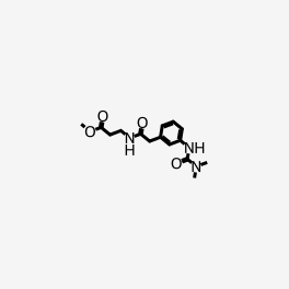 COC(=O)CCNC(=O)Cc1cccc(NC(=O)N(C)C)c1